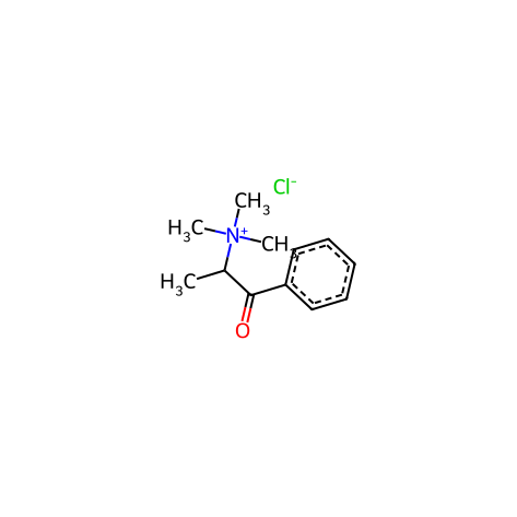 CC(C(=O)c1ccccc1)[N+](C)(C)C.[Cl-]